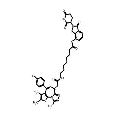 Cc1sc2c(c1C)C(c1ccc(Cl)cc1)=N[C@@H](CC(=O)NCCCCCCCC(=O)Oc1cccc3c1CN(C1CCC(=O)NC1=O)C3=O)c1nnc(C)n1-2